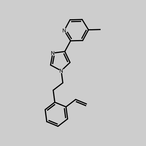 C=Cc1ccccc1CCn1cnc(-c2cc(C)ccn2)c1